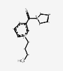 O=C(c1ccc[n+](CCCS(=O)(=O)O)c1)N1CCCC1